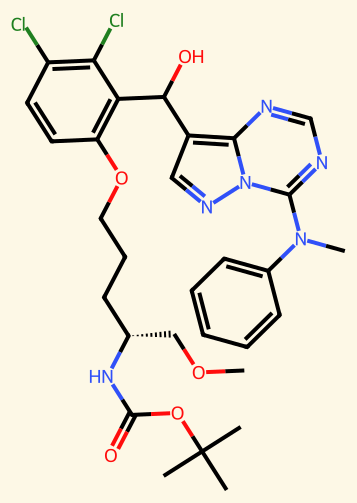 COC[C@@H](CCCOc1ccc(Cl)c(Cl)c1C(O)c1cnn2c(N(C)c3ccccc3)ncnc12)NC(=O)OC(C)(C)C